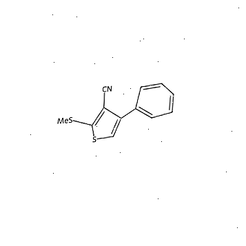 CSc1scc(-c2ccccc2)c1C#N